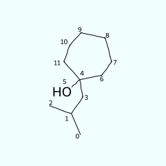 CC(C)CC1(O)CCCCCC1